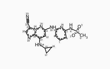 CS(=O)(=O)Nc1cccc(Nc2cc(NC3CC3)c3ncc(C#N)n3n2)n1